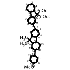 CCCCCCCCC1(CCCCCCCC)c2ccccc2-c2ccc(-c3ccc4c(c3)C(C)(C)c3cc(-c5ccc(OC)cc5)ccc3-4)cc21